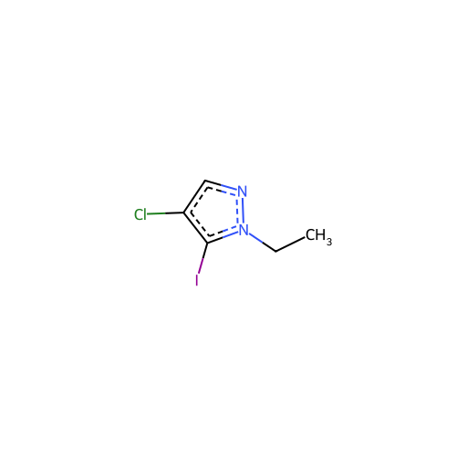 CCn1ncc(Cl)c1I